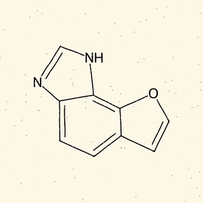 c1nc2ccc3ccoc3c2[nH]1